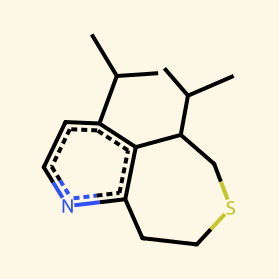 CC(C)c1ccnc2c1C(C(C)C)CSCC2